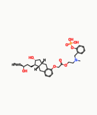 CCCCC[C@H](O)CC[C@@H]1[C@H]2Cc3cccc(OCC(=O)OCCN(C)Cc4ccccc4OP(=O)(O)O)c3C[C@H]2C[C@H]1O